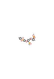 CCOP(C)(=O)Cc1cc(C)ccc1OC(C)(C)c1ccc(Oc2ccc(S(=O)(=O)c3ccc(C)cc3)cc2)c(CP(C)(=O)CC)c1